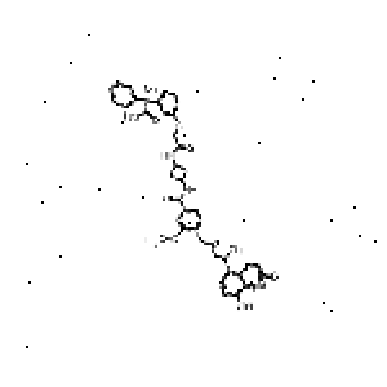 COc1cc(C(=O)NC2CC(NC(=O)COc3cccc(C(O)(C(=O)O)c4ccccc4)c3)C2)ccc1CNCC(O)c1ccc(O)c2[nH]c(=O)ccc12